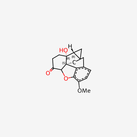 COc1ccc2c3c1OC1C(=O)CC[C@@]4(O)[C@@H]5CC5(C2)C[C@]314